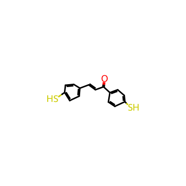 O=C(/C=C/c1ccc(S)cc1)c1ccc(S)cc1